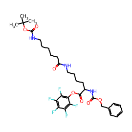 CC(C)(C)OC(=O)NCCCCCC(=O)NCCCCC(NC(=O)OCc1ccccc1)C(=O)Oc1c(F)c(F)c(F)c(F)c1F